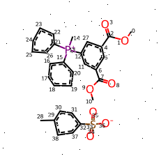 COC(=O)c1cc(C(=O)OC)cc([P+](C)(c2ccccc2)c2ccccc2)c1.Cc1ccc(S(=O)(=O)[O-])cc1